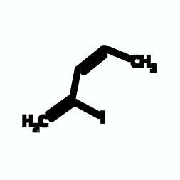 C=C(I)/C=C\C